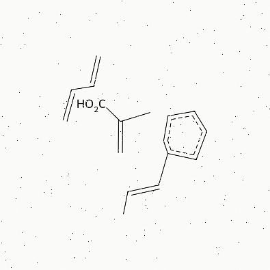 C=C(C)C(=O)O.C=CC=C.CC=Cc1ccccc1